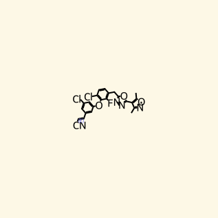 Cc1noc(C)c1-c1nnc(Cc2ccc(Cl)c(Oc3cc(Cl)cc(/C=C/C#N)c3)c2F)o1